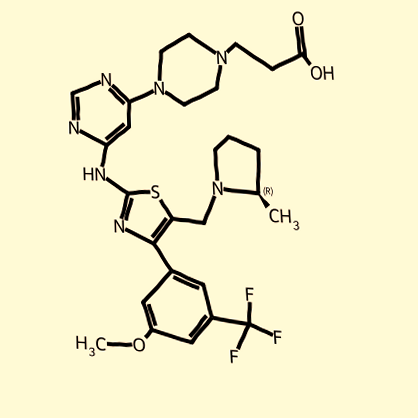 COc1cc(-c2nc(Nc3cc(N4CCN(CCC(=O)O)CC4)ncn3)sc2CN2CCC[C@H]2C)cc(C(F)(F)F)c1